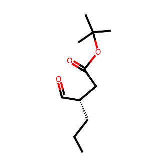 CCC[C@H](C=O)CC(=O)OC(C)(C)C